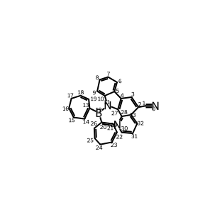 N#Cc1cc2c3ccccc3n(B(C3=CC=CCC=C3)C3=CC=CCC=C3)c2c2ncccc12